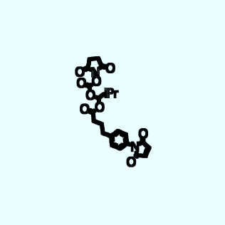 CC(C)C(OC(=O)CCCc1ccc(N2C(=O)C=CC2=O)cc1)OC(=O)ON1C(=O)CCC1=O